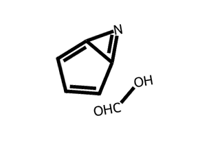 O=CO.c1cc2nc-2c1